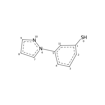 Sc1cccc(-n2cccn2)c1